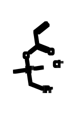 C=CC(=O)O[N+](C)(C)CC(C)C.[Cl-]